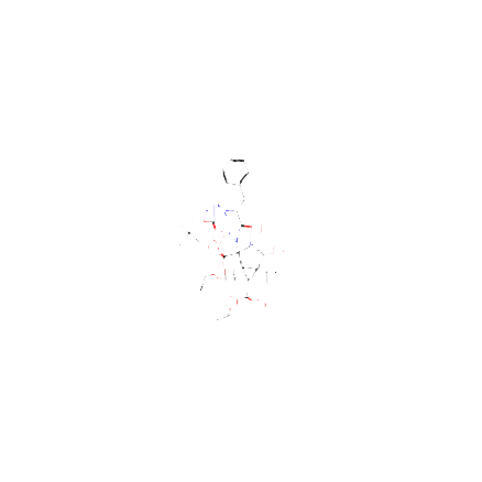 CCOC(=O)[C@H]1[C@H]2[C@@H]1[C@](NC(=O)[C@H](Cc1ccccc1)NC(=O)OC(C)(C)C)(C(=O)OCC)C[C@@H]2O